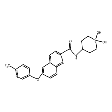 O=C(NC1CCS(O)(O)CC1)c1ccc2cc(Oc3ccc(C(F)(F)F)nc3)ccc2n1